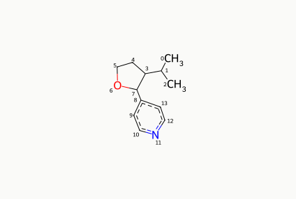 CC(C)C1CCOC1c1ccncc1